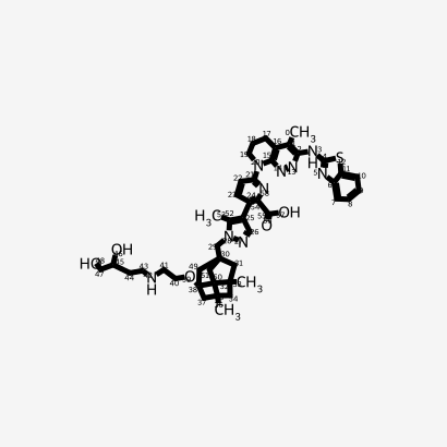 Cc1c(Nc2nc3ccccc3s2)nnc2c1CCCN2c1ccc(-c2cnn(CC34CC5(C)CC6(C)CC(OCCNCCC(O)CO)(C3)C56C4)c2C)c(C(=O)O)n1